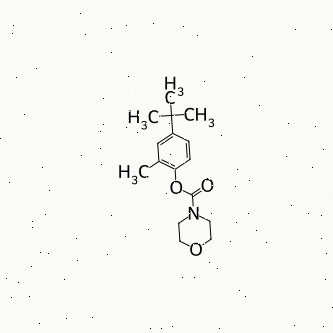 Cc1cc(C(C)(C)C)ccc1OC(=O)N1CCOCC1